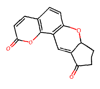 O=C1CCC2Oc3ccc4ccc(=O)oc4c3C=C12